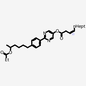 CCCCCCC/C=C\CC(=O)Oc1cnc(-c2ccc(CCCCC(C)OC(=O)CC)cc2)nc1